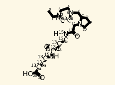 CCN1CCN(CC2CCCN2CC(=O)[15NH][13CH2][13CH2][13CH2][13C](=O)[15NH][13CH2][13CH2][13CH2]C(=O)O)[13CH2][13CH2]1